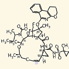 CCC(C)N(C(=O)O)[C@@H]1C(=O)N2[C@@H](C[C@@](C)(Oc3nc4c(c5ccccc35)CCCO4)C2(F)F)C(=O)N[C@]2(C(=O)NS(=O)(=O)C3(C)CC3)C[C@H]2/C=C\CC[C@@H](C)O[C@H]1C